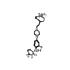 NN1CCC(CCN2CCN(c3ccc(N[C@H]4CCC(=O)NC4=O)c(F)c3)CC2)CC1